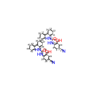 N#Cc1ccc(NC(=O)Nc2ccccc2-c2ccccc2)c(O)c1.N#Cc1ccc(NC(=O)Nc2ccccc2-c2ccccc2)c(O)c1